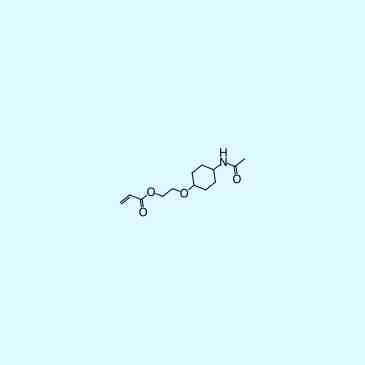 C=CC(=O)OCCOC1CCC(NC(C)=O)CC1